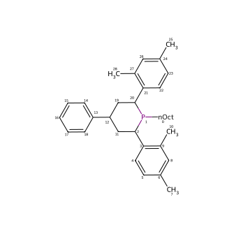 CCCCCCCCP1C(c2ccc(C)cc2C)CC(c2ccccc2)CC1c1ccc(C)cc1C